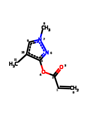 C=CC(=O)Oc1nn(C)cc1C